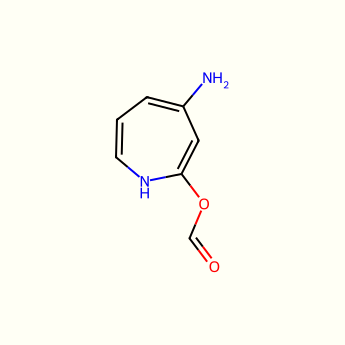 NC1=CC=CNC(OC=O)=C1